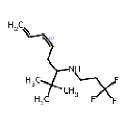 C=C/C=C\CC(NCCC(F)(F)F)C(C)(C)C